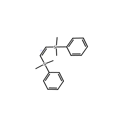 C[Si](C)(/C=C\[Si](C)(C)c1ccccc1)c1ccccc1